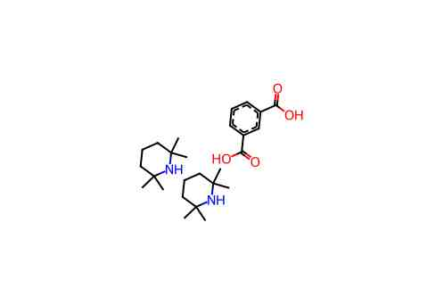 CC1(C)CCCC(C)(C)N1.CC1(C)CCCC(C)(C)N1.O=C(O)c1cccc(C(=O)O)c1